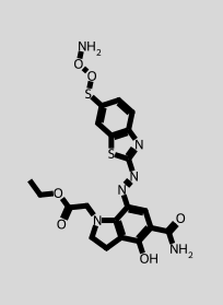 CCOC(=O)CN1CCc2c(O)c(C(N)=O)cc(/N=N/c3nc4ccc(SOON)cc4s3)c21